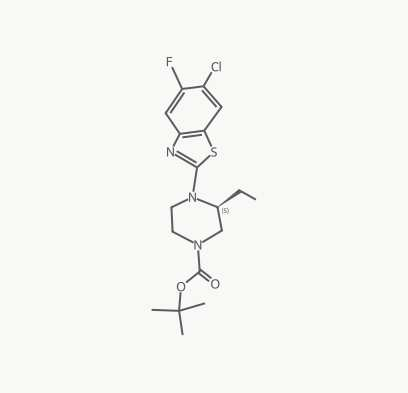 CC[C@H]1CN(C(=O)OC(C)(C)C)CCN1c1nc2cc(F)c(Cl)cc2s1